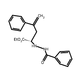 C=C(C[C@H](NNC(=O)c1ccccc1)C(=O)OCC)c1ccccc1